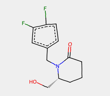 O=C1CCC[C@H](CO)N1Cc1ccc(F)c(F)c1